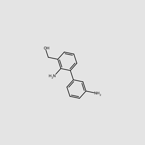 Nc1cccc(-c2cccc(CO)c2N)c1